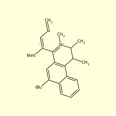 C=N/C=C(/SC)C1=[N+](C)C(C)C(C)c2c1cc(C(C)(C)C)c1ccccc21